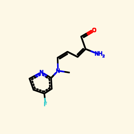 CN(/C=C\C=C(\N)C=O)c1cc(F)ccn1